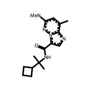 CNc1cc(C)c2ncc(C(=O)NC(C)(C)C3CCC3)n2n1